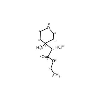 CCOC(=O)CC1(N)CCOCC1.Cl